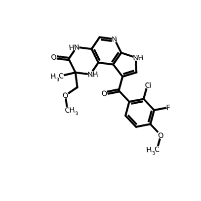 COCC1(C)Nc2c(cnc3[nH]cc(C(=O)c4ccc(OC)c(F)c4Cl)c23)NC1=O